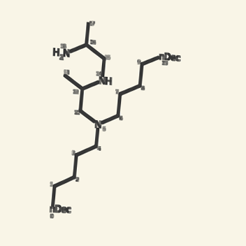 CCCCCCCCCCCCCCN(CCCCCCCCCCCCCC)CC(C)NCC(C)N